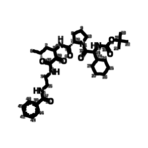 CCCC(NC(=O)[C@@H]1CCCN1C(=O)C(NC(=O)OC(C)(C)C)C1CCCCC1)C(=O)C(=O)NCCNC(=O)c1ccccc1